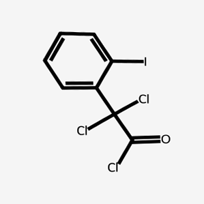 O=C(Cl)C(Cl)(Cl)c1ccccc1I